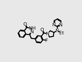 CCN(c1ncccn1)C1CCN(C(=O)c2cc(Cc3n[nH]c(=O)c4ccccc34)ccc2F)C1